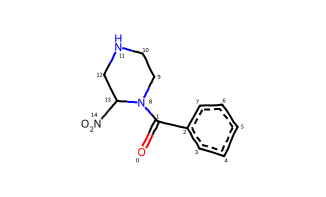 O=C(c1ccccc1)N1CCNCC1[N+](=O)[O-]